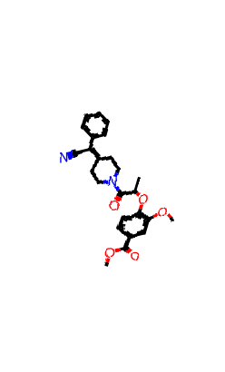 COC(=O)c1ccc(OC(C)C(=O)N2CCC(=C(C#N)c3ccccc3)CC2)c(OC)c1